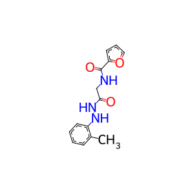 Cc1ccccc1NNC(=O)CNC(=O)c1ccco1